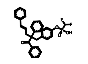 O=C(c1ccccc1)C(CC=Cc1ccccc1)(Cc1ccc(OP(=O)(O)C(F)F)cc1)c1ccccc1